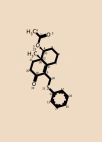 CC(=O)O[C@H]1CCCC2=C(CSc3ccccc3)C(=O)CC[C@@]21C